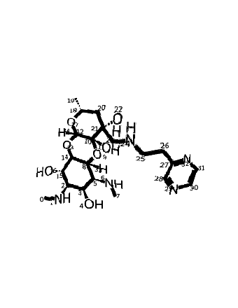 CN[C@@H]1[C@H](O)[C@H](NC)[C@H]2O[C@]3(O)[C@H](OC2[C@H]1O)O[C@H](C)C[C@@]3(O)CNCCc1cnccn1